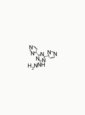 NNc1nc(-c2ccncn2)nc(-c2ccncn2)n1